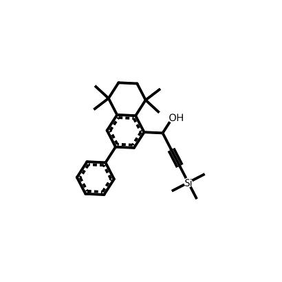 CC1(C)CCC(C)(C)c2c(C(O)C#C[Si](C)(C)C)cc(-c3ccccc3)cc21